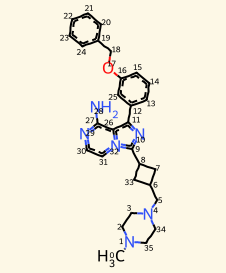 CN1CCN(CC2CC(c3nc(-c4cccc(OCc5ccccc5)c4)c4c(N)nccn34)C2)CC1